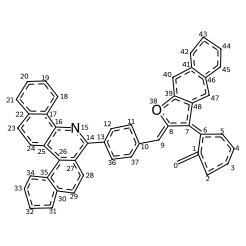 C=c1cccc/c1=c1/c(=C/c2ccc(-c3nc4c5ccccc5ccc4c4c3ccc3ccccc34)cc2)oc2cc3ccccc3cc12